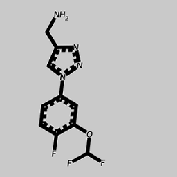 NCc1cn(-c2ccc(F)c(OC(F)F)c2)nn1